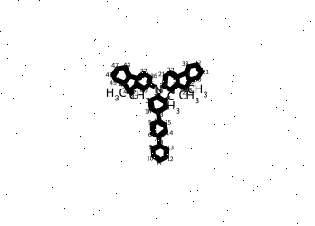 Cc1cc(-c2ccc(-c3ccccc3)cc2)ccc1N(c1ccc2c(c1)C(C)(C)c1ccccc1-2)c1ccc2c(c1)C(C)(C)c1ccccc1-2